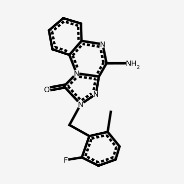 Cc1cccc(F)c1Cn1nc2c(N)nc3ccccc3n2c1=O